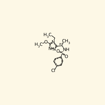 CCn1c(OC)nnc1[C@@H](C)NS(=O)(=O)c1ccc(Cl)cc1